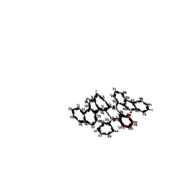 c1ccc(N(c2ccc3oc4c5ccccc5ccc4c3c2N(c2ccccc2)c2ccccc2)c2cccc3c2sc2ccccc23)cc1